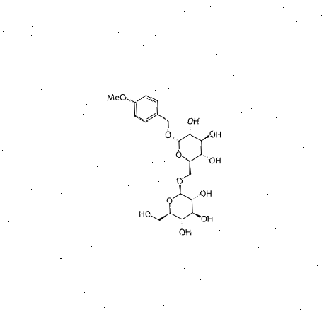 COc1ccc(CO[C@H]2O[C@H](CO[C@@H]3O[C@H](CO)[C@@H](O)[C@H](O)[C@H]3O)[C@@H](O)[C@H](O)[C@H]2O)cc1